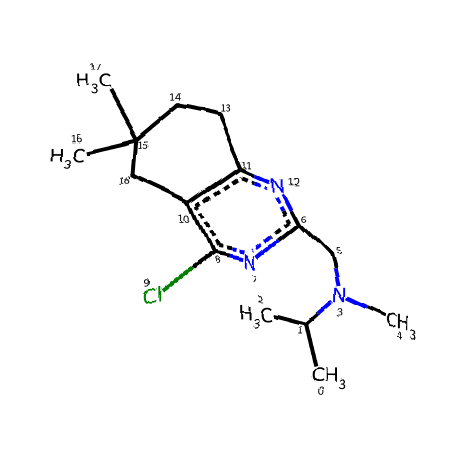 CC(C)N(C)Cc1nc(Cl)c2c(n1)CCC(C)(C)C2